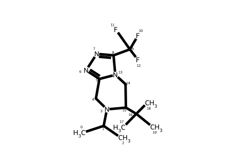 CC(C)N1Cc2nnc(C(F)(F)F)n2CC1C(C)(C)C